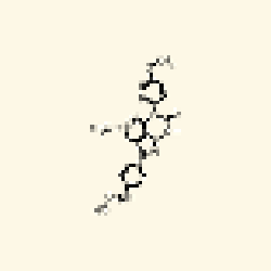 COc1ccc(-n2c(=O)[nH]c3nn(-c4ccc(NOO)cc4)c(CN(C)C)c3c2=O)nn1